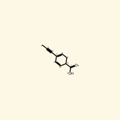 CC#CC1=CCC(C(=O)O)C=C1